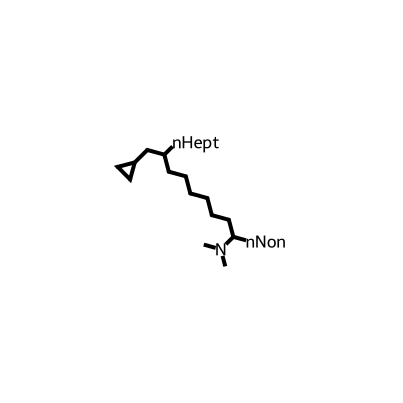 CCCCCCCCCC(CCCCCCC(CCCCCCC)CC1CC1)N(C)C